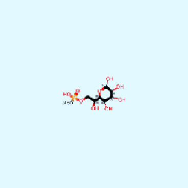 COP(=O)(O)OC[C@H](O)[C@H]1O[C@H](O)[C@@H](O)[C@@H](O)[C@@H]1O